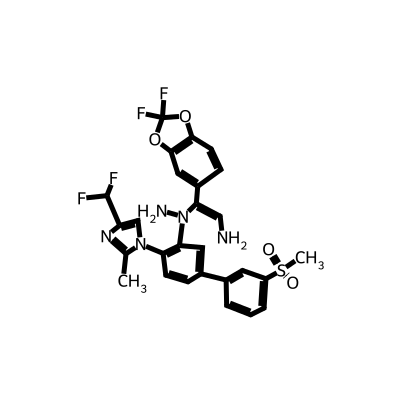 Cc1nc(C(F)F)cn1-c1ccc(-c2cccc(S(C)(=O)=O)c2)cc1N(N)/C(=C\N)c1ccc2c(c1)OC(F)(F)O2